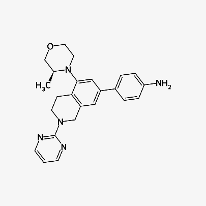 C[C@H]1COCCN1c1cc(-c2ccc(N)cc2)cc2c1CCN(c1ncccn1)C2